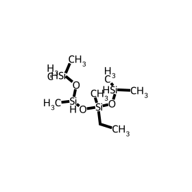 CC[Si](C)(O[SiH](C)C)O[SiH](C)O[SiH](C)C